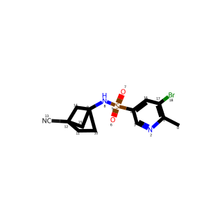 Cc1ncc(S(=O)(=O)NC23CCC(C#N)(C2)C3)cc1Br